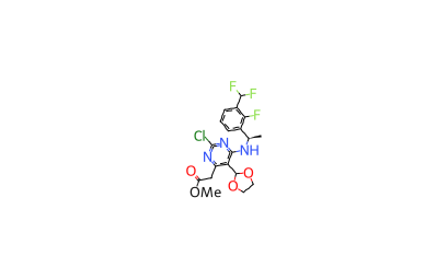 COC(=O)Cc1nc(Cl)nc(N[C@H](C)c2cccc(C(F)F)c2F)c1C1OCCO1